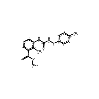 CCCCCCOC(=O)c1cccc(NC(=O)NSc2ccc(C)cc2)c1C